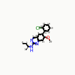 CC[C@H](C)Nc1ncc2cc(-c3ccccc3Cl)c(OC)cc2n1